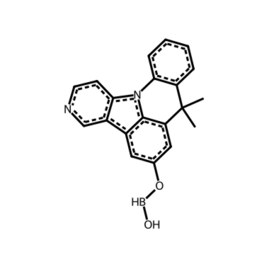 CC1(C)c2ccccc2-n2c3ccncc3c3cc(OBO)cc1c32